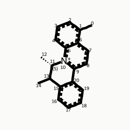 Cc1cccc2c1ccc1[n+]2[C@@H](C)C(C)c2ccccc2-1